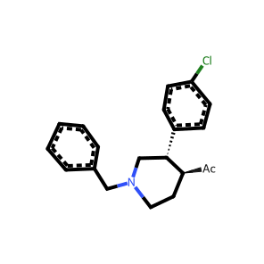 CC(=O)[C@H]1CCN(Cc2ccccc2)C[C@@H]1c1ccc(Cl)cc1